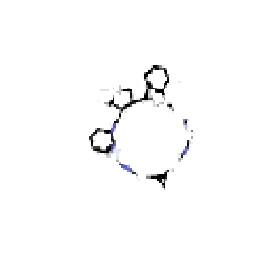 O=C1NC(=O)C2=C1\C=c1/cccc/c1=N\C=C/OC1=C(C1)O/C=C/N=C\Cn1cc2c2ccccc21